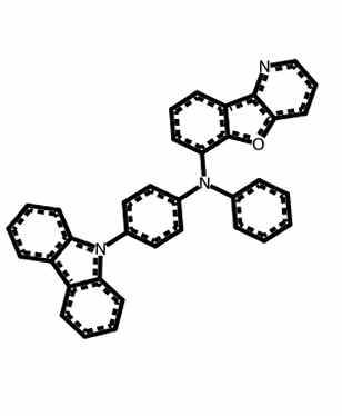 c1ccc(N(c2ccc(-n3c4ccccc4c4ccccc43)cc2)c2cccc3c2oc2cccnc23)cc1